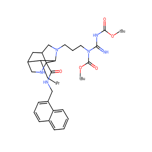 CC(C)CC1C2CNC3(C(=O)NCc4cccc5ccccc45)C(C2)CN(CCCN(C(=N)NC(=O)OC(C)(C)C)C(=O)OC(C)(C)C)C13